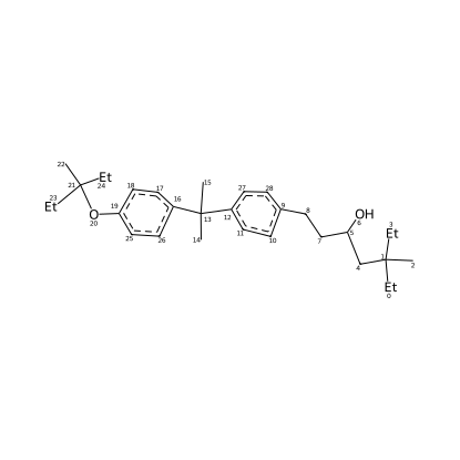 CCC(C)(CC)CC(O)CCc1ccc(C(C)(C)c2ccc(OC(C)(CC)CC)cc2)cc1